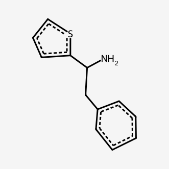 NC(Cc1ccccc1)c1cccs1